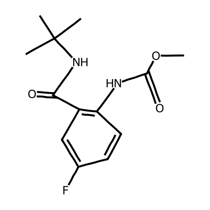 COC(=O)Nc1ccc(F)cc1C(=O)NC(C)(C)C